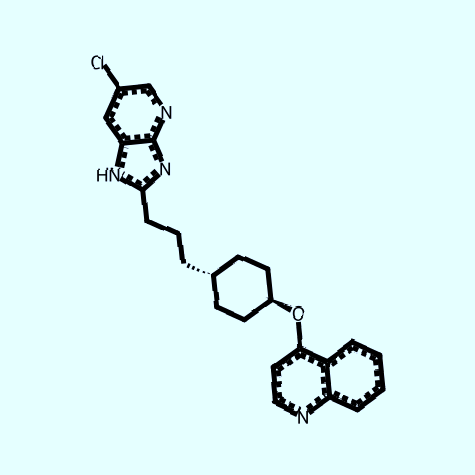 Clc1cnc2nc(CCC[C@H]3CC[C@H](Oc4ccnc5ccccc45)CC3)[nH]c2c1